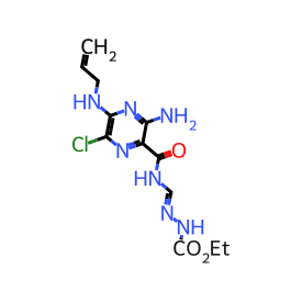 C=CCNc1nc(N)c(C(=O)NC=NNC(=O)OCC)nc1Cl